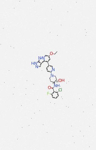 CCOc1cc(-c2ccc(N3CC[C@H](NC(=O)c4c(F)cccc4Cl)[C@@H](O)C3)nc2)c2c3cn[nH]c3nn2c1